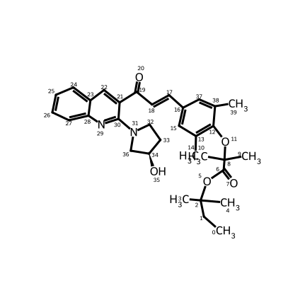 CCC(C)(C)OC(=O)C(C)(C)Oc1c(C)cc(/C=C/C(=O)c2cc3ccccc3nc2N2CC[C@@H](O)C2)cc1C